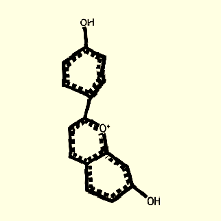 Oc1ccc(-c2ccc3ccc(O)cc3[o+]2)cc1